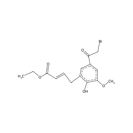 CCOC(=O)C=CCc1cc(C(=O)CBr)cc(OC)c1O